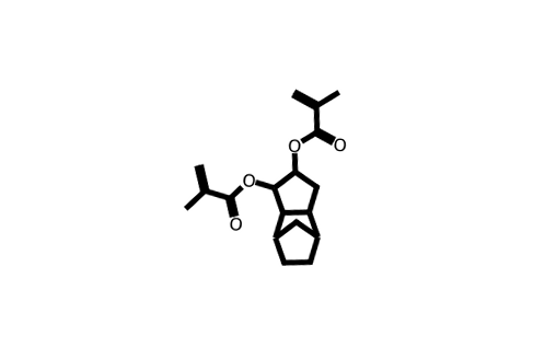 C=C(C)C(=O)OC1CC2C3CCC(C3)C2C1OC(=O)C(=C)C